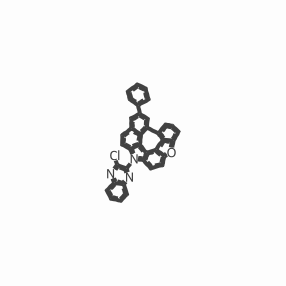 Clc1nc2ccccc2nc1-n1c2ccc3cc(-c4ccccc4)cc4c3c2c2c3c(ccc21)oc1cccc-4c13